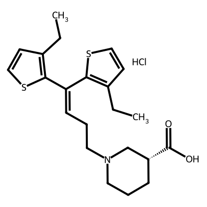 CCc1ccsc1C(=CCCN1CCC[C@@H](C(=O)O)C1)c1sccc1CC.Cl